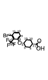 O=C(O)[C@H]1CC[C@H](Oc2cccc(Br)c2C(F)(F)F)CC1